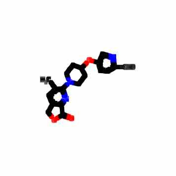 Cc1cc2c(nc1N1CCC(Oc3ccc(C=O)nc3)CC1)C(=O)OC2